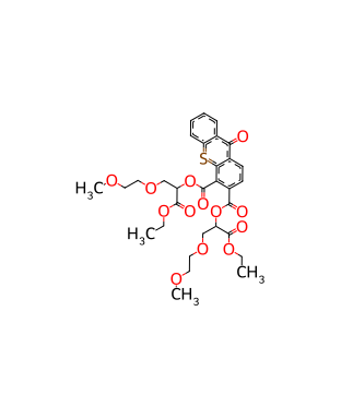 CCOC(=O)C(COCCOC)OC(=O)c1ccc2c(=O)c3ccccc3sc2c1C(=O)OC(COCCOC)C(=O)OCC